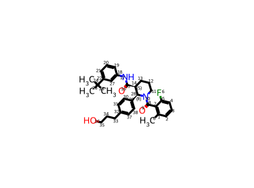 Cc1cccc(F)c1C(=O)N1CCC[C@H](C(=O)Nc2cccc(C(C)(C)C)c2)[C@@H]1c1ccc(CCCO)cc1